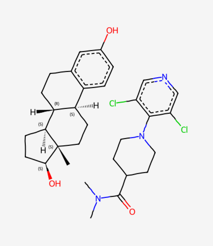 CN(C)C(=O)C1CCN(c2c(Cl)cncc2Cl)CC1.C[C@]12CC[C@@H]3c4ccc(O)cc4CC[C@H]3[C@@H]1CC[C@@H]2O